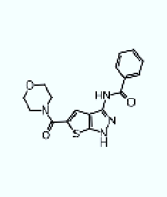 O=C(Nc1n[nH]c2sc(C(=O)N3CCOCC3)cc12)c1ccccc1